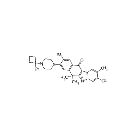 CCc1cc2c(cc1N1CCN(C3(C(C)C)CCC3)CC1)C(C)(C)c1[nH]c3cc(C#N)c(C)cc3c1C2=O